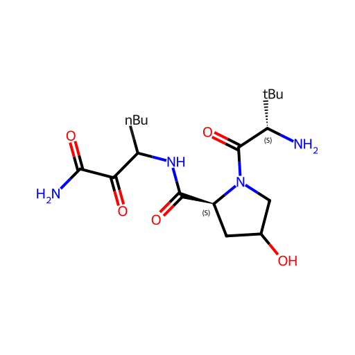 CCCCC(NC(=O)[C@@H]1CC(O)CN1C(=O)[C@@H](N)C(C)(C)C)C(=O)C(N)=O